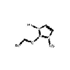 CC(C)(C)COP1N(C(C)(C)C)C=CN1C(C)(C)C